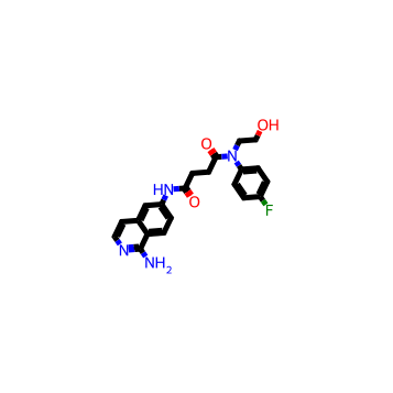 Nc1nccc2cc(NC(=O)CCC(=O)N(CCO)c3ccc(F)cc3)ccc12